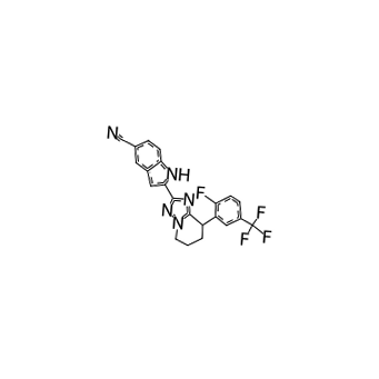 N#Cc1ccc2[nH]c(-c3nc4n(n3)CCCC4c3cc(C(F)(F)F)ccc3F)cc2c1